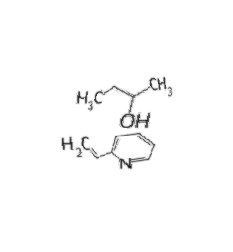 C=Cc1ccccn1.CCC(C)O